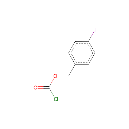 O=C(Cl)OCc1ccc(I)cc1